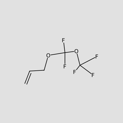 C=CCOC(F)(F)OC(F)(F)F